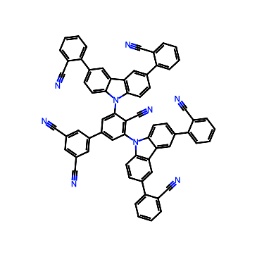 N#Cc1cc(C#N)cc(-c2cc(-n3c4ccc(-c5ccccc5C#N)cc4c4cc(-c5ccccc5C#N)ccc43)c(C#N)c(-n3c4ccc(-c5ccccc5C#N)cc4c4cc(-c5ccccc5C#N)ccc43)c2)c1